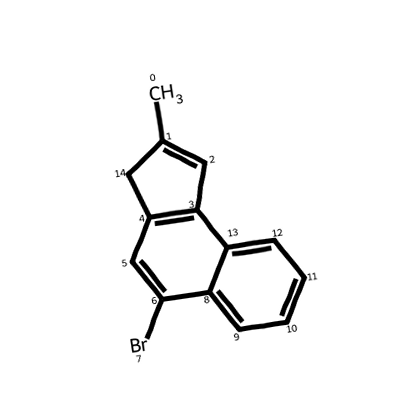 CC1=Cc2c(cc(Br)c3ccccc23)C1